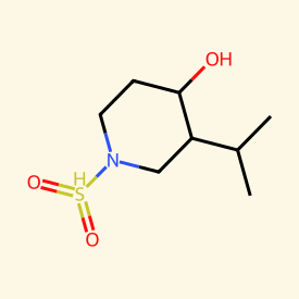 CC(C)C1CN([SH](=O)=O)CCC1O